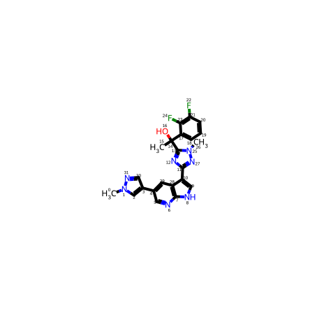 Cn1cc(-c2cnc3[nH]cc(-c4nc(C(C)(O)c5cccc(F)c5F)n(C)n4)c3c2)cn1